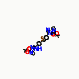 CC(C)(C)OC(=O)N1CCC[C@H]1c1ncc(-c2ccc(-c3cc4ccc(-c5cnc([C@@H]6CCCN6C(=O)OC(C)(C)C)[nH]5)cc4s3)cc2)[nH]1